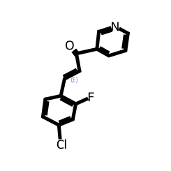 O=C(/C=C/c1ccc(Cl)cc1F)c1cccnc1